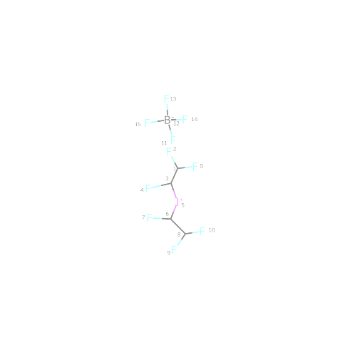 FC(F)C(F)[I+]C(F)C(F)F.F[B-](F)(F)F